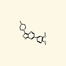 COc1ccc(-c2cnc3c(N4CCN(C)CC4)snc3c2)cc1OC